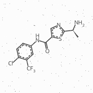 C[C@H](N)c1ncc(C(=O)Nc2ccc(Cl)c(C(F)(F)F)c2)s1